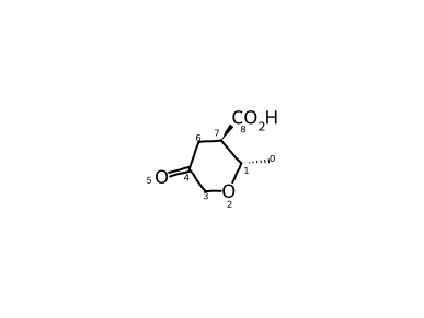 C[C@@H]1OCC(=O)C[C@H]1C(=O)O